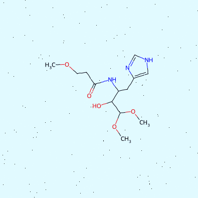 COCCC(=O)NC(Cc1c[nH]cn1)C(O)C(OC)OC